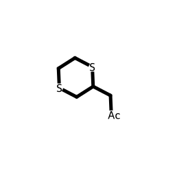 CC(=O)CC1CSCCS1